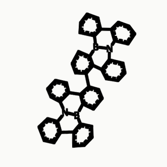 c1ccc2c(c1)B1c3cccc(-c4cccc5c4-c4ccccc4N4B5c5ccccc5-c5ccccc54)c3-c3ccccc3N1c1ccccc1-2